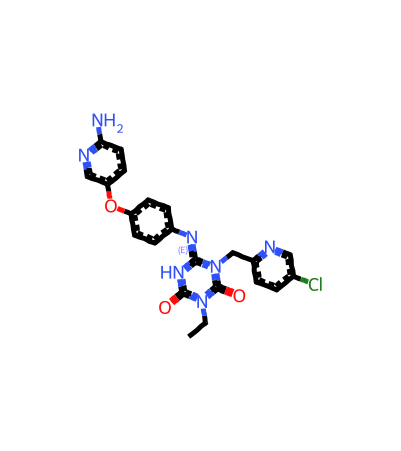 CCn1c(=O)[nH]/c(=N\c2ccc(Oc3ccc(N)nc3)cc2)n(Cc2ccc(Cl)cn2)c1=O